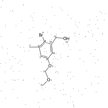 COCOc1cc(C)c(Br)c(CO)c1